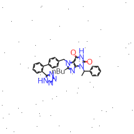 CCCCc1nc2c(c(=O)[nH]c(=O)n2C(C)c2ccccc2)n1Cc1ccc(-c2ccccc2-c2nnn[nH]2)cc1